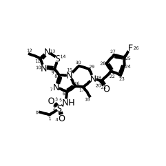 CCS(=O)(=O)Nc1nc(-c2nc(C)ns2)n2c1C(C)N(C(=O)c1ccc(F)cc1)CC2